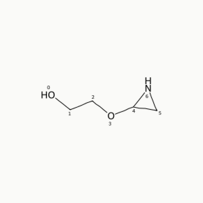 OCCOC1CN1